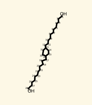 OCCCCCCCCCCCCC1CCC(CCCCCCCCCCCCO)CC1